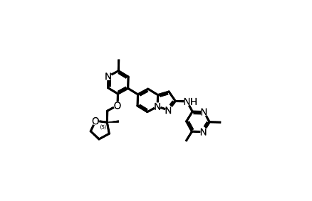 Cc1cc(-c2ccn3nc(Nc4cc(C)nc(C)n4)cc3c2)c(OC[C@]2(C)CCCO2)cn1